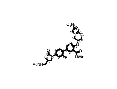 COC(=O)c1cc(-c2ccc(N3CC(CNC(C)=O)OC3=O)cc2F)cnc1O[C@@H]1COc2nc([N+](=O)[O-])cn2C1